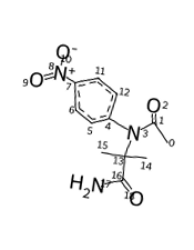 CC(=O)N(c1ccc([N+](=O)[O-])cc1)C(C)(C)C(N)=O